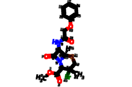 COC(=O)C1N2C(=O)C(NC(=O)COc3ccccc3)[C@H]2SCC1(C)Br